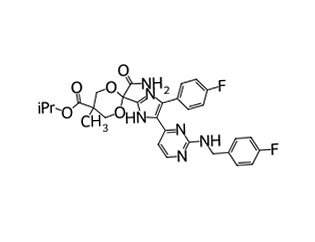 CC(C)OC(=O)C1(C)COC(C(N)=O)(c2nc(-c3ccc(F)cc3)c(-c3ccnc(NCc4ccc(F)cc4)n3)[nH]2)OC1